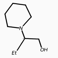 CC[C](CO)N1CCCCC1